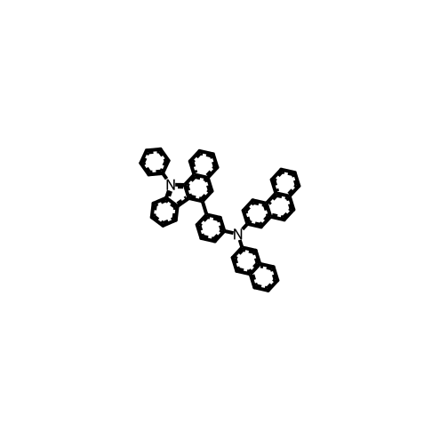 c1ccc(-n2c3ccccc3c3c(-c4cccc(N(c5ccc6ccccc6c5)c5ccc6c(ccc7ccccc76)c5)c4)cc4ccccc4c32)cc1